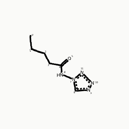 CCCCC(=O)Nn1cnnn1